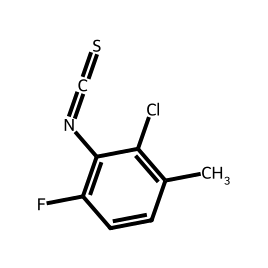 Cc1ccc(F)c(N=C=S)c1Cl